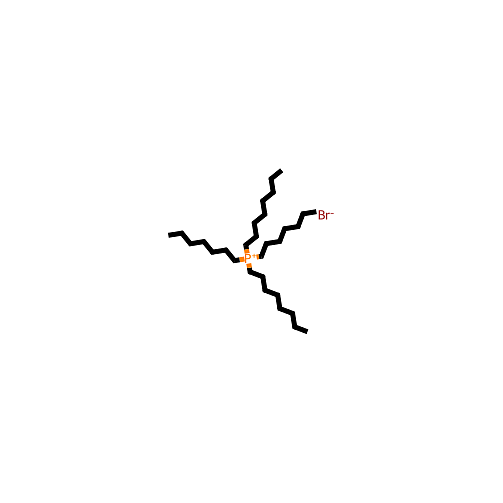 CCCCCCCC[P+](CCCCCCC)(CCCCCCC)CCCCCCCC.[Br-]